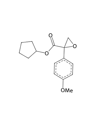 COc1ccc(C2(C(=O)OC3CCCC3)CO2)cc1